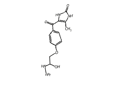 CCCNC(O)COc1ccc(C(=O)c2[nH]c(=O)[nH]c2C)cc1